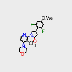 COc1cc(F)c(C2CC(=O)N(c3nccc(N4CCOCC4)c3C(F)(F)F)C2)c(F)c1